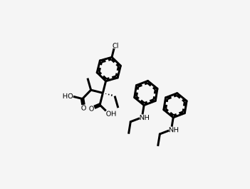 CCNc1ccccc1.CCNc1ccccc1.CC[C@@](C(=O)O)(c1ccc(Cl)cc1)C(C)C(=O)O